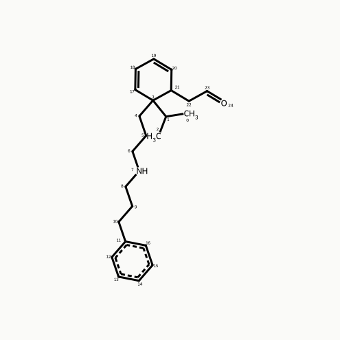 CC(C)C1(CCCNCCCc2ccccc2)C=CC=CC1CC=O